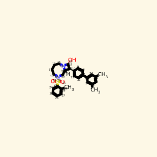 Cc1cc(C)cc(-c2ccc([C@@H]3[C@@H](O)N4CCCCN(S(=O)(=O)c5ccccc5C)C[C@@H]34)cc2)c1